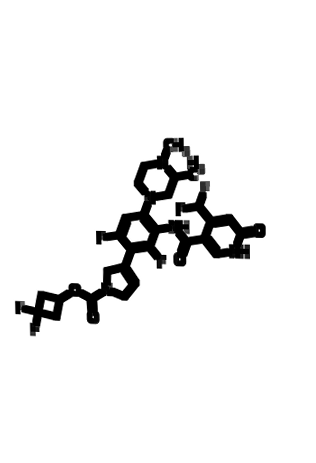 CC1CN(c2cc(F)c(C3=CCN(C(=O)OC4CC(F)(F)C4)C3)c(F)c2NC(=O)c2c[nH]c(=O)cc2C(F)F)CCN1C